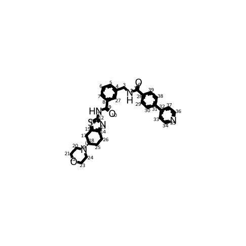 O=C(NCc1cccc(C(=O)Nc2nc3c(s2)C[C@@H](N2CCOCC2)CC3)c1)c1ccc(-c2ccncc2)cc1